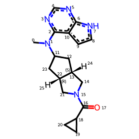 CN(c1ncnc2[nH]ccc12)C1C[C@@H]2CN(C(=O)C3CC3)C[C@@H]2C1